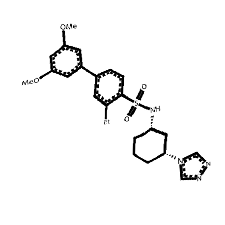 CCc1cc(-c2cc(OC)cc(OC)c2)ccc1S(=O)(=O)N[C@H]1CCC[C@@H](n2cnnc2)C1